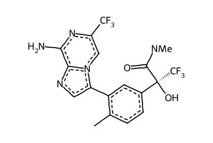 CNC(=O)[C@@](O)(c1ccc(C)c(-c2cnc3c(N)nc(C(F)(F)F)cn23)c1)C(F)(F)F